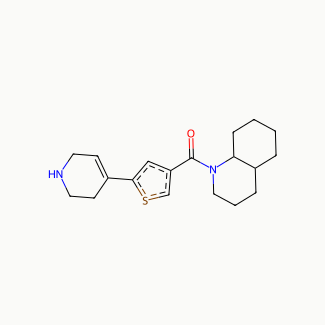 O=C(c1csc(C2=CCNCC2)c1)N1CCCC2CCCCC21